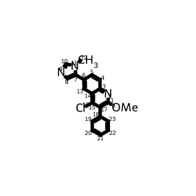 COc1nc2ccc(-c3cncn3C)cc2c(Cl)c1-c1ccccc1